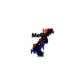 COc1cc2c(Oc3ccc(NC(=O)C4(C(=O)Nc5ccc(F)cc5)CC4)cc3F)ccnc2cc1OCCCC1(O)CC1